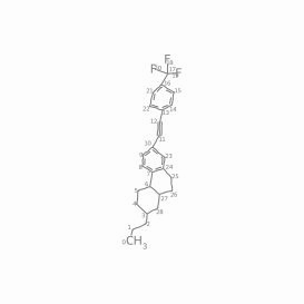 CCCC1CCC2c3ccc(C#Cc4ccc(C(F)(F)F)cc4)cc3CCC2C1